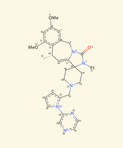 CCN1C(=O)N2Cc3cc(OC)cc(OC)c3[C@@H](C)C=C2C12CCN(Cc1cccn1-c1cnccn1)CC2